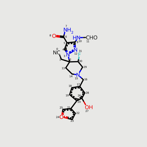 N#CCC1(n2cc(C(N)=O)c(NC=O)n2)CCN(Cc2ccc(-c3ccoc3)c(O)c2)CC1F